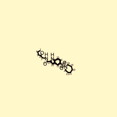 O=C(NCC1CCCO1)c1cc2cc(S(=O)(=O)N3CCCCCC3)ccc2[nH]1